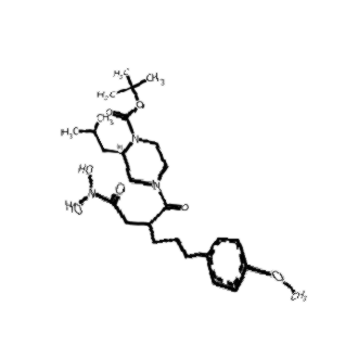 COc1ccc(CCCC(CC(=O)N(O)O)C(=O)N2CCN(C(=O)OC(C)(C)C)[C@H](CC(C)C)C2)cc1